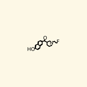 O=C(c1ccc2cc(O)ccc2c1)C1CCCN(CCF)C1